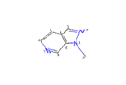 Cn1ncc2ccncc21